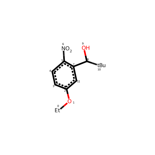 CCOc1ccc([N+](=O)[O-])c(C(O)C(C)(C)C)c1